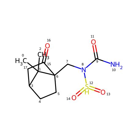 CC1(C)C2CCC1(CN(C(N)=O)[SH](=O)=O)C(=O)C2